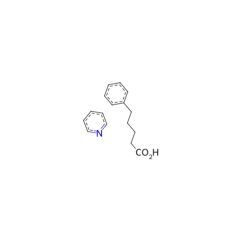 O=C(O)CCCCc1ccccc1.c1ccncc1